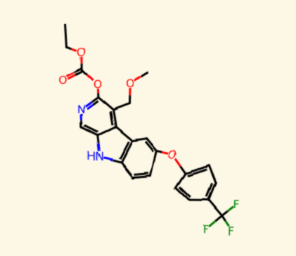 CCOC(=O)Oc1ncc2[nH]c3ccc(Oc4ccc(C(F)(F)F)cc4)cc3c2c1COC